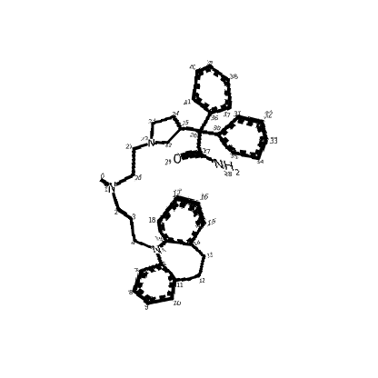 CN(CCCN1c2ccccc2CCc2ccccc21)CCN1CCC(C(C(N)=O)(c2ccccc2)c2ccccc2)C1